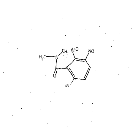 COc1c(N=O)ccc(C(C)C)c1C(=O)N(C)C